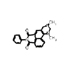 CN1Cc2cc3c4c(cccc4c2N(C)C1)C(=O)N(c1ccccc1)C3=O